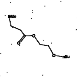 CCCCOCCOC(=O)CCSC